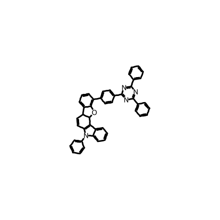 C1=CC2c3cccc(-c4ccc(-c5nc(-c6ccccc6)nc(-c6ccccc6)n5)cc4)c3OC2c2c1n(-c1ccccc1)c1ccccc21